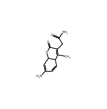 CC1=C(CC(N)=O)C(=O)OC2C=C(N)C=CC12